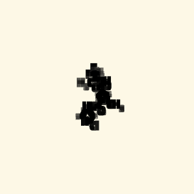 CC(NS(=O)(=O)c1cc(C(=O)Nc2ccnc(Cl)c2)n(C)c1)C(F)(F)F